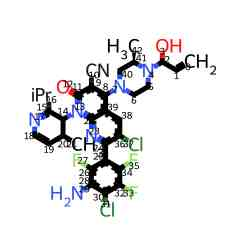 C=CC(O)N1CCN(c2c(C#N)c(=O)n(C3C(C(C)C)=NC=CC3C)c3nc(-c4c(F)c(N)c(Cl)c(F)c4F)c(Cl)cc23)C[C@H]1C